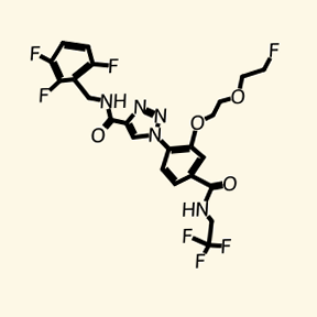 O=C(NCC(F)(F)F)c1ccc(-n2cc(C(=O)NCc3c(F)ccc(F)c3F)nn2)c(OCCOCCF)c1